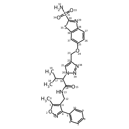 Cc1onc(-c2ccccc2)c1CNC(=O)C(C(C)C)n1cc(COc2ccc3nc(S(N)(=O)=O)sc3c2)nn1